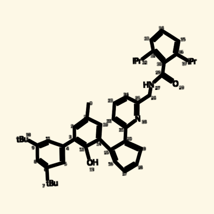 Cc1cc(-c2cc(C(C)(C)C)cc(C(C)(C)C)c2)c(O)c(-c2ccccc2-c2cccc(CNC(=O)c3c(C(C)C)cccc3C(C)C)n2)c1